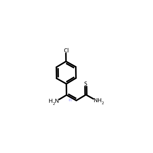 NC(=S)/C=C(/N)c1ccc(Cl)cc1